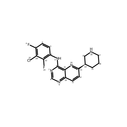 Fc1ccc(Nc2ncnc3ccc([C@@H]4CCCNC4)nc23)c(F)c1Cl